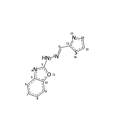 C(=NNc1nc2ccccc2o1)c1nccs1